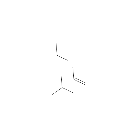 C=CC.CC(C)C.CCC